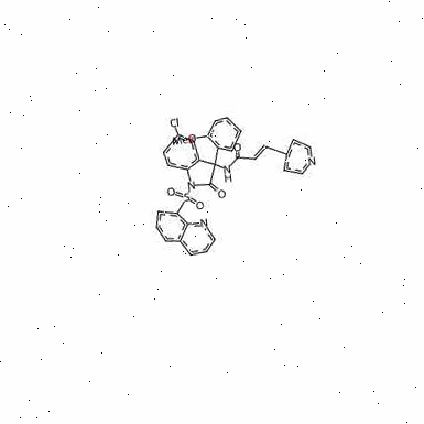 COc1ccccc1C1(NC(=O)C=Cc2ccncc2)C(=O)N(S(=O)(=O)c2cccc3cccnc23)c2ccc(Cl)cc21